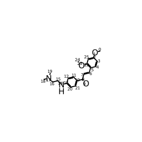 COc1ccc(C=CC(=O)c2ccc(NCCN(C)C)cc2)c(OC)c1